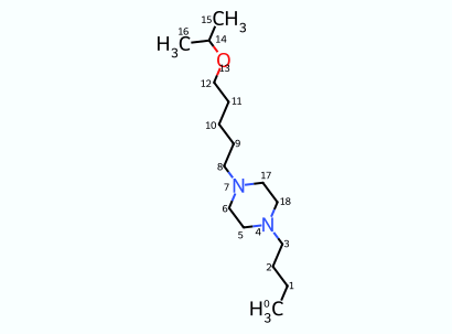 CCCCN1CCN(CCCCCOC(C)C)CC1